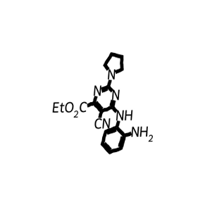 CCOC(=O)c1nc(N2CCCC2)nc(Nc2ccccc2N)c1C#N